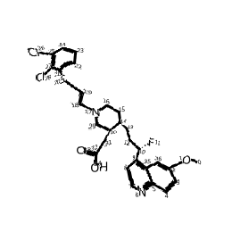 COc1ccc2nccc([C@@H](F)CC[C@@H]3CCN(CCSc4cccc(Cl)c4Cl)C[C@@H]3CC(=O)O)c2c1